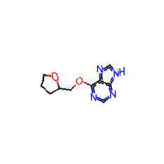 c1nc(OCC2CCCO2)c2nc[nH]c2n1